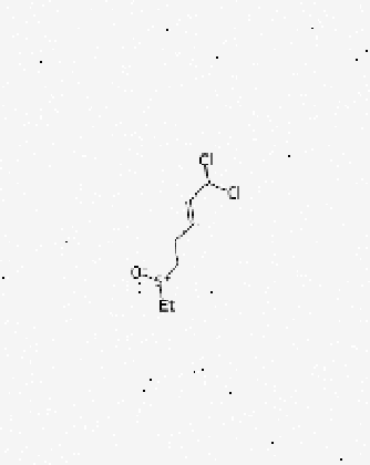 CC[S+]([O-])CC[C]=CC(Cl)Cl